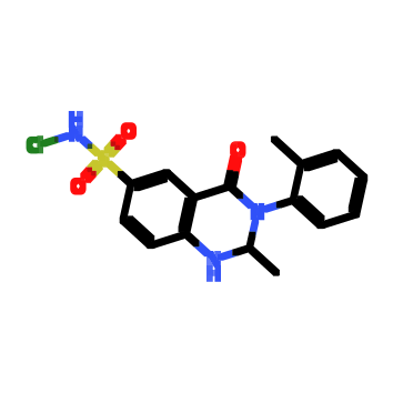 Cc1ccccc1N1C(=O)c2cc(S(=O)(=O)NCl)ccc2NC1C